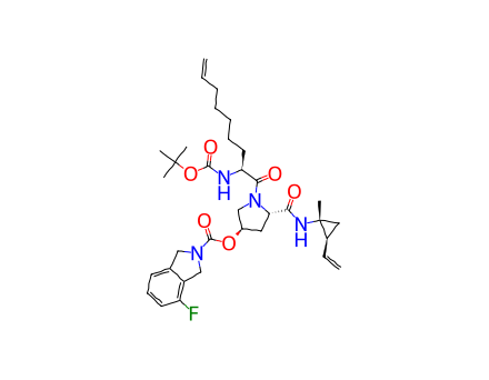 C=CCCCCC[C@H](NC(=O)OC(C)(C)C)C(=O)N1C[C@H](OC(=O)N2Cc3cccc(F)c3C2)C[C@H]1C(=O)N[C@]1(C)C[C@H]1C=C